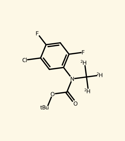 [2H]C([2H])([2H])N(C(=O)OC(C)(C)C)c1cc(Cl)c(F)cc1F